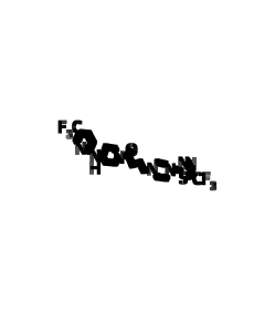 O=C(CCCN1CCN(c2nnc(C(F)(F)F)s2)CC1)N1CCC(Nc2ccc(C(F)(F)F)cn2)CC1